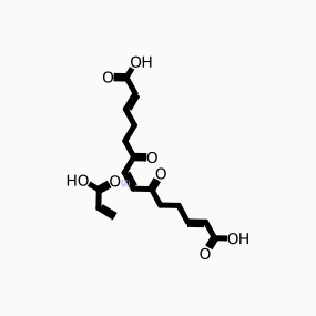 C=CC(=O)O.O=C(O)C=CCCC(=O)/C=C\C(=O)CCC=CC(=O)O